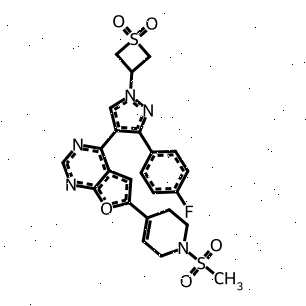 CS(=O)(=O)N1CC=C(c2cc3c(-c4cn(C5CS(=O)(=O)C5)nc4-c4ccc(F)cc4)ncnc3o2)CC1